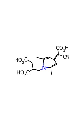 CC1=CC(=C(C#N)C(=O)O)C=C(C)N1CC(CC(=O)O)C(=O)O